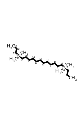 CCC[N+](C)(C)CCCCCCCCCCCC[N+](C)(C)CCC